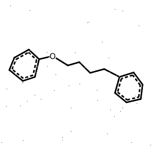 [c]1cccc(OCCCCc2ccccc2)c1